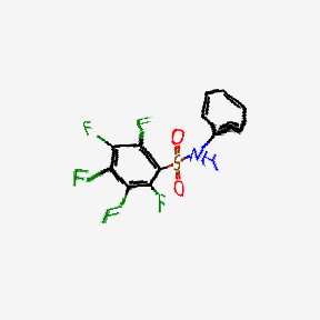 O=S(=O)(Nc1ccccc1)c1c(F)c(F)c(F)c(F)c1F